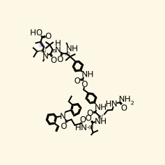 C=Cc1ccccc1N(Cc1ccccc1CC)C(=O)CCC(=O)N[C@H](C(=O)N[C@@H](CCCNC(N)=O)C(=O)Nc1ccc(COC(=O)Nc2ccc(C(C)(C)[C@H](NC)C(=O)N[C@H](C(=O)N(C)[C@H](/C=C(\C)C(=O)O)C(C)C)C(C)(C)C)cc2)cc1)C(C)C